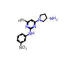 CCCc1cc(N2CC[C@H](N)C2)nc(Nc2cccc([N+](=O)[O-])c2)n1